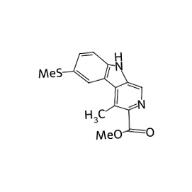 COC(=O)c1ncc2[nH]c3ccc(SC)cc3c2c1C